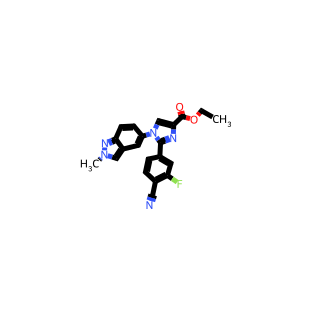 CCOC(=O)c1cn(-c2ccc3nn(C)cc3c2)c(-c2ccc(C#N)c(F)c2)n1